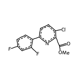 COC(=O)c1nc(-c2ccc(F)cc2F)ccc1Cl